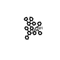 C1=C(c2ccccc2)NC(c2ccccc2)N[C@@H]1c1cc(-c2ccc(-c3ccccc3)c(-c3ccccc3)c2-c2ccccc2)cc(-c2c(-c3ccccc3)cc(-c3ccccc3)cc2-c2ccccc2)c1